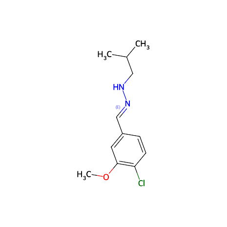 COc1cc(/C=N/NCC(C)C)ccc1Cl